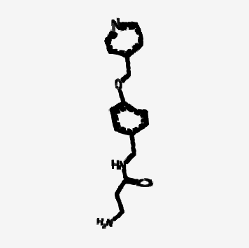 NCCC(=O)NCc1ccc(OCc2ccncc2)cc1